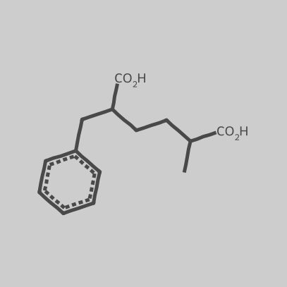 CC(CCC(Cc1ccccc1)C(=O)O)C(=O)O